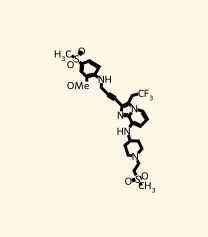 COc1cc(S(C)(=O)=O)ccc1NCC#Cc1nc2c(NC3CCN(CCS(C)(=O)=O)CC3)cccn2c1CC(F)(F)F